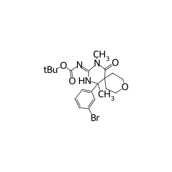 CN1C(=O)C2(CCOCC2)C(C)(c2cccc(Br)c2)N/C1=N\C(=O)OC(C)(C)C